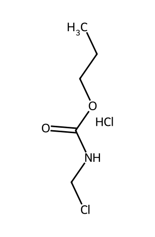 CCCOC(=O)NCCl.Cl